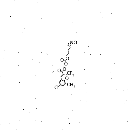 Cc1cc(Cl)cc2c1O[C@H](C(F)(F)F)C(C(=O)OCOC(=O)OCCCCON=O)=C2